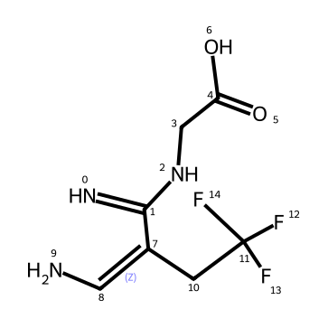 N=C(NCC(=O)O)/C(=C\N)CC(F)(F)F